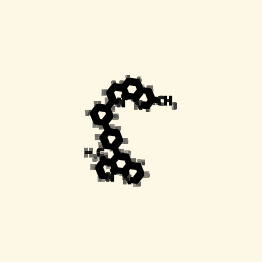 Cc1cnc2c(ccc3ccc(-c4cccc(-c5ccc(-c6cc7cccnc7c7nccc(C)c67)cc5)c4)nc32)c1